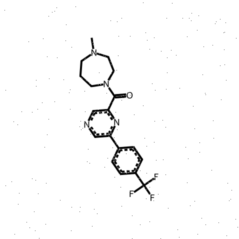 CN1CCCN(C(=O)c2cncc(-c3ccc(C(F)(F)F)cc3)n2)CC1